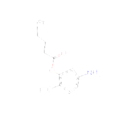 CC(C)CCCC(=O)Oc1cc(N)ccc1C(F)(F)F